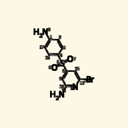 Nc1ccc(S(=O)(=O)c2cc(N)nc(Br)c2)cc1